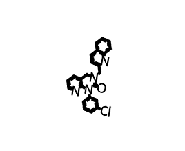 O=C1N(Cc2ccc3ccccc3n2)Cc2cccnc2N1c1cccc(Cl)c1